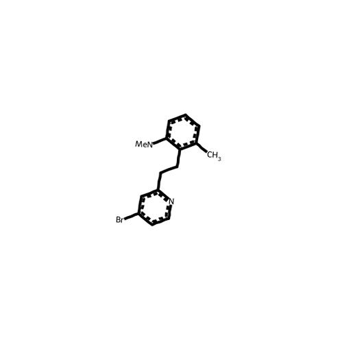 CNc1cccc(C)c1CCc1cc(Br)ccn1